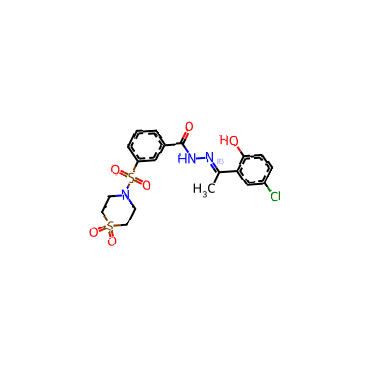 C/C(=N\NC(=O)c1cccc(S(=O)(=O)N2CCS(=O)(=O)CC2)c1)c1cc(Cl)ccc1O